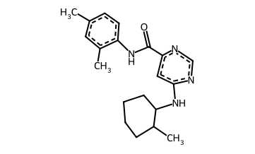 Cc1ccc(NC(=O)c2cc(NC3CCCCC3C)ncn2)c(C)c1